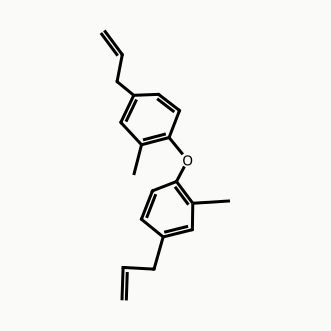 C=CCc1ccc(Oc2ccc(CC=C)cc2C)c(C)c1